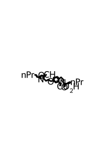 CCCC#CC(=O)N1CCc2ccc(OCCc3nc(/C=C/CCC)oc3C)cc2C1C(=O)O